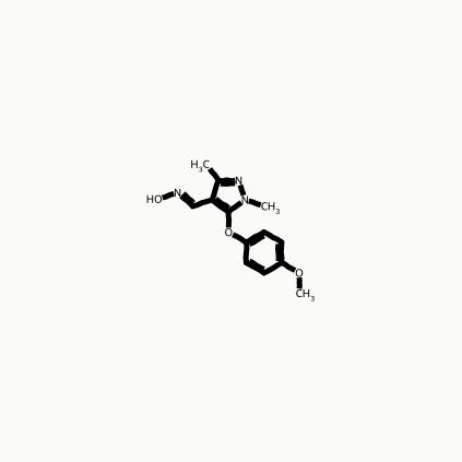 COc1ccc(Oc2c(C=NO)c(C)nn2C)cc1